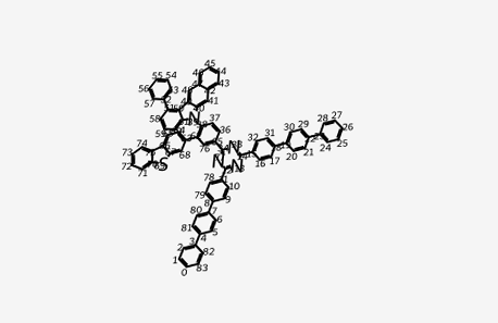 c1ccc(-c2ccc(-c3ccc(-c4nc(-c5ccc(-c6ccc(-c7ccccc7)cc6)cc5)nc(-c5ccc(-n6c7cc8ccccc8cc7c7c(-c8ccccc8)cccc76)c(-c6ccc7c(c6)sc6ccccc67)c5)n4)cc3)cc2)cc1